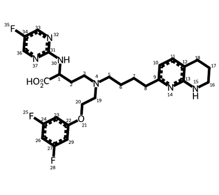 O=C(O)C(CCN(CCCCc1ccc2c(n1)NCCC2)CCOc1cc(F)cc(F)c1)Nc1ncc(F)cn1